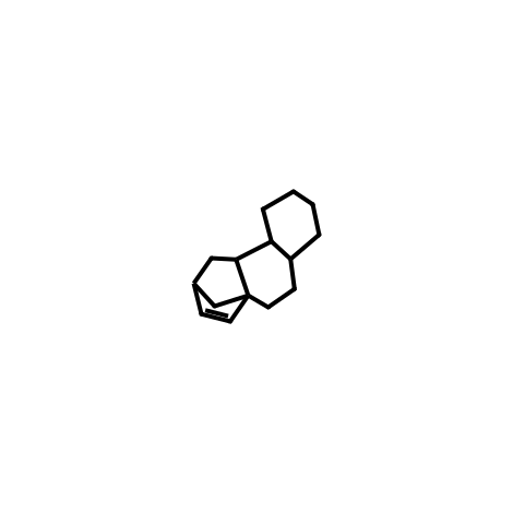 C1=CC23CCC4CCCCC4C2CC1C3